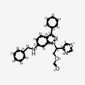 O=COCC(c1cscn1)n1nc(-c2ccccc2)c2ccc(NCc3ccccc3)cc21